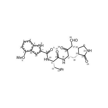 COc1cccc2[nH]c(C(=O)N[C@@H](CC(C)C)C(=O)N[C@@H](C[C@@H]3CCNC3=O)C(=O)CC=O)cc12